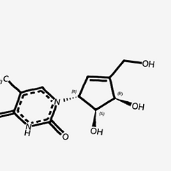 Cc1cn([C@@H]2C=C(CO)[C@@H](O)[C@H]2O)c(=O)[nH]c1=O